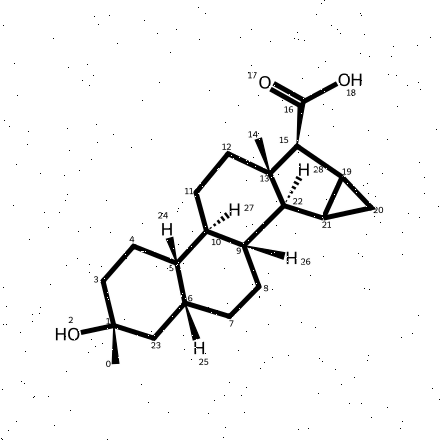 C[C@@]1(O)CC[C@H]2[C@H](CC[C@@H]3[C@@H]2CC[C@]2(C)[C@@H](C(=O)O)C4CC4[C@@H]32)C1